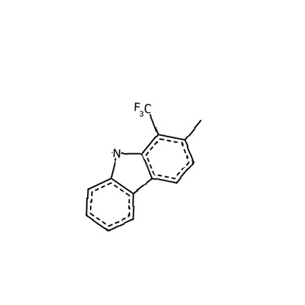 Cc1ccc2c(c1C(F)(F)F)[N]c1ccccc1-2